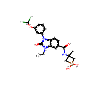 CC1(NC(=O)c2ccc3c(c2)n(CC(F)(F)F)c(=O)n3-c2cccc(OC(F)F)c2)CS(O)(O)C1